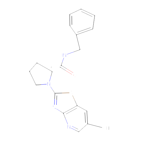 Cc1cnc2nc(N3CCC[C@@H]3C(=O)NCc3ccccc3)sc2c1